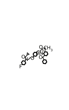 COC(=O)[C@H](Cc1ccc(OCCN(C(=O)C2CC2)c2ccc(F)cc2)cc1)Nc1ccccc1C(=O)c1ccccc1